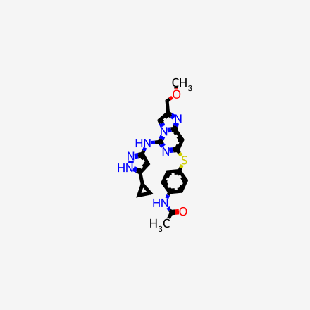 COCc1cn2c(Nc3cc(C4CC4)[nH]n3)nc(Sc3ccc(NC(C)=O)cc3)cc2n1